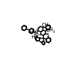 CC1C2=C3C(C)C4=C1C(C)(c1ccccc1)C=CC4(C)N(c1ccc(-c4ccccc4)cc1)c1ccc4c(c1)C3(c1ccccc1S2)c1ccccc1-4